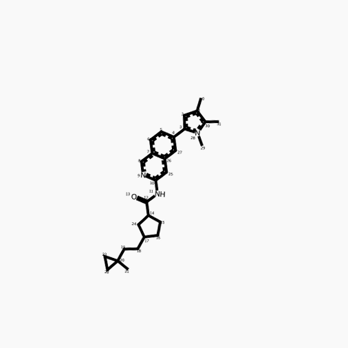 Cc1cc(-c2ccc3cnc(NC(=O)C4CCC(CCC5(C)CC5)C4)cc3c2)n(C)c1C